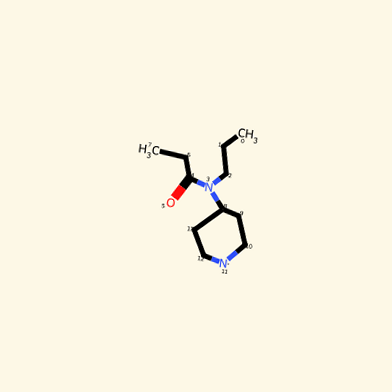 CCCN(C(=O)CC)C1CC[N]CC1